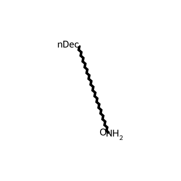 CCCCCCCCCCCCCCCCCCCCCCCCCCCCCCCCCCCCCCCC(N)=O